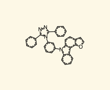 c1ccc(-c2nnc(-c3ccccc3)n2-c2cccc(-n3c4ccccc4c4c5occc5ccc43)c2)cc1